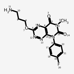 Cn1c(=O)c2nc(OCCCN)nnc2n(-c2ccc(F)cc2)c1=O